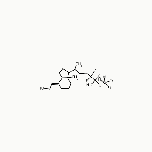 CC[Si](CC)(CC)OC(C)(C)C(F)(F)CCC(C)C1CCC2/C(=C/CO)CCCC21C